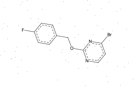 Fc1ccc(COc2nccc(Br)n2)cc1